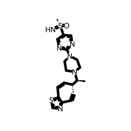 C[C@@H]([C@@H]1C#Cc2ncsc2C=C1)N1CCN(c2ncc([S@@](C)(=N)=O)cn2)CC1